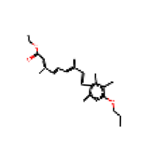 CCCOc1cc(C)c(C=CC(C)=CC=CC(C)=CC(=O)OCC)c(C)c1C